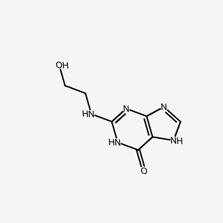 O=c1[nH]c(NCCO)nc2nc[nH]c12